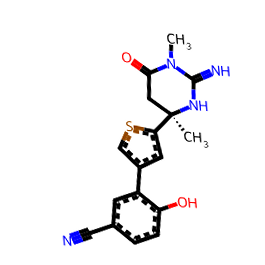 CN1C(=N)N[C@@](C)(c2cc(-c3cc(C#N)ccc3O)cs2)CC1=O